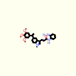 C=C(c1cc(OC)c(OC)c(OC)c1)c1ccc2c(c1)c(/C=C/C(=O)Nc1ccccc1N)cn2C